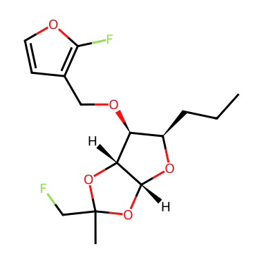 CCC[C@H]1O[C@@H]2OC(C)(CF)O[C@@H]2[C@H]1OCc1ccoc1F